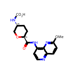 COc1ccc2nccc(NC(=O)[C@@H]3CC[C@@H](NC(=O)O)CO3)c2n1